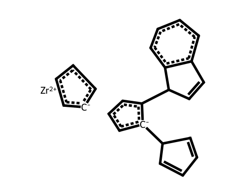 C1=CC([c-]2cccc2C2C=Cc3ccccc32)C=C1.[Zr+2].c1cc[cH-]c1